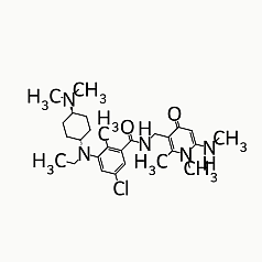 CCN(c1cc(Cl)cc(C(=O)NCc2c(C)n(C)c(NC)cc2=O)c1C)[C@H]1CC[C@H](N(C)C)CC1